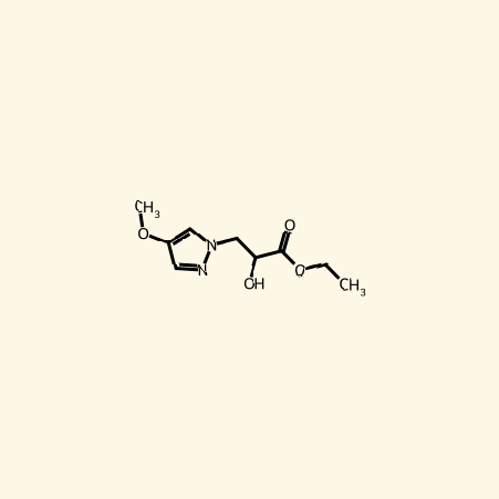 CCOC(=O)C(O)Cn1cc(OC)cn1